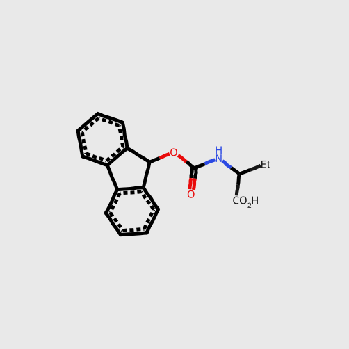 CCC(NC(=O)OC1c2ccccc2-c2ccccc21)C(=O)O